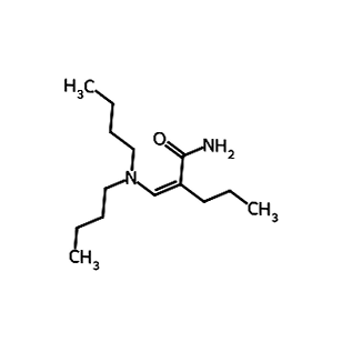 CCCCN(C=C(CCC)C(N)=O)CCCC